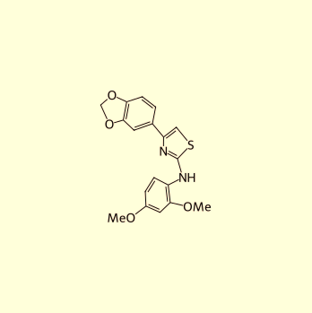 COc1ccc(Nc2nc(-c3ccc4c(c3)OCO4)cs2)c(OC)c1